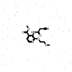 COCCOc1nccc(C(=O)OC)c1NC(=O)CC#N